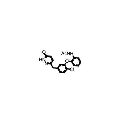 CC(=O)Nc1ccccc1Oc1cc(Cc2ccc(=O)[nH]n2)ccc1Cl